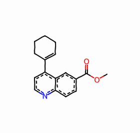 COC(=O)c1ccc2nccc(C3=CCCCC3)c2c1